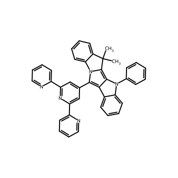 CC1(C)c2ccccc2-n2c(-c3cc(-c4ccccn4)nc(-c4ccccn4)c3)c3c4ccccc4n(-c4ccccc4)c3c21